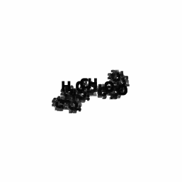 CC1(C)c2ccc(-c3ccc4c(c3)oc3c4ccc4oc5ccc6ccccc6c5c43)cc2-c2ccc(-c3c4ccccc4c(-c4ccccc4)c4ccccc34)cc21